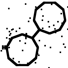 B1CCCCCC(C2CCCCCCCC2)CC1